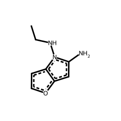 CCNn1c(N)cc2occc21